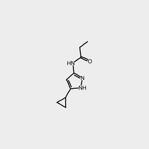 CCC(=O)Nc1cc(C2CC2)[nH]n1